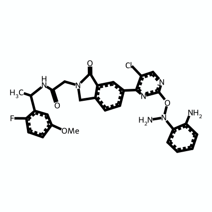 COc1ccc(F)c(C(C)NC(=O)CN2Cc3ccc(-c4nc(ON(N)c5ccccc5N)ncc4Cl)cc3C2=O)c1